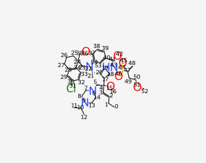 CC/C=C/[C@@](CN1CCN(C(C)C)CC1)(OC)[C@@H]1CC[C@H]1CN1C[C@@]2(CCCc3cc(Cl)ccc32)COc2ccc(C(=O)NS(=O)(=O)[C@@H](C)CCOC)cc21